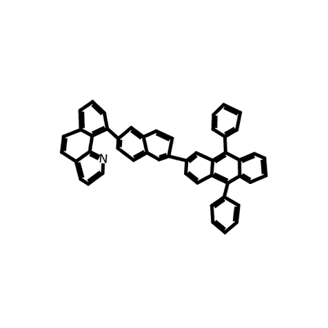 c1ccc(-c2c3ccccc3c(-c3ccccc3)c3cc(-c4ccc5cc(-c6cccc7ccc8cccnc8c67)ccc5c4)ccc23)cc1